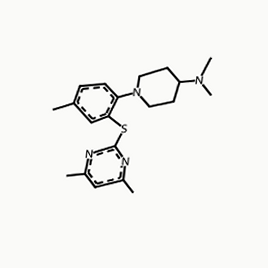 Cc1ccc(N2CCC(N(C)C)CC2)c(Sc2nc(C)cc(C)n2)c1